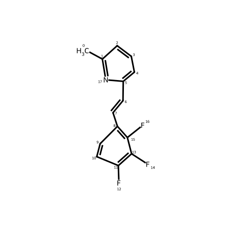 Cc1cccc(C=Cc2ccc(F)c(F)c2F)n1